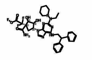 CCN(c1nc(NCC(c2ccccc2)c2ccccc2)c2ncn([C@@H]3C[C@](C(N)=O)(C(F)(F)C(=O)OF)[C@@H](O)[C@H]3O)c2n1)N1CCCCC1